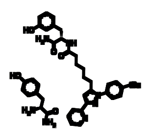 CC(C)(C)c1ccc(-n2nc(-c3ccccn3)cc2CCCCCC(=O)N[C@@H](Cc2cccc(O)c2)C(N)=O)cc1.NC(=O)[C@@H](N)Cc1ccc(O)cc1